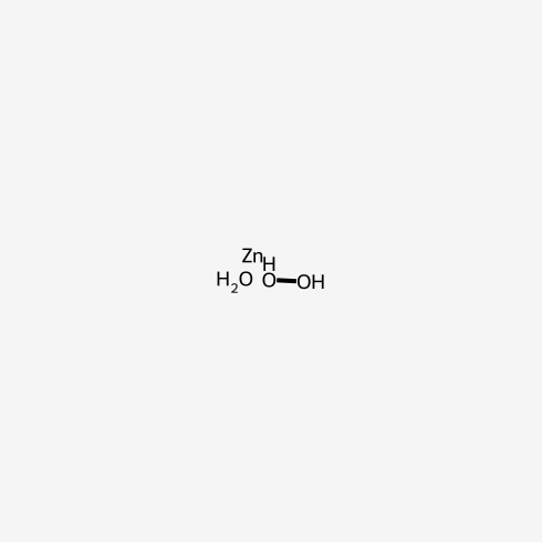 O.OO.[Zn]